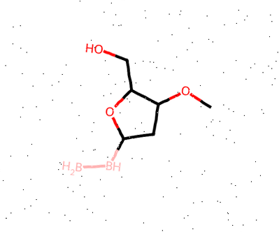 BBC1CC(OC)C(CO)O1